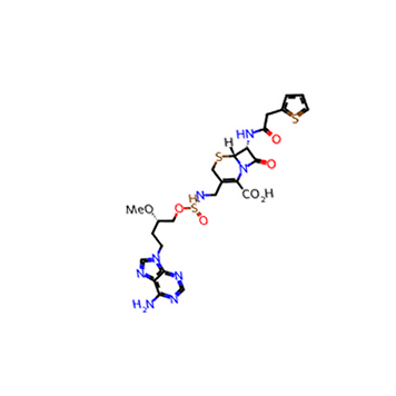 CO[C@@H](CCn1cnc2c(N)ncnc21)CO/[SH](=O)=N/CC1=C(C(=O)O)N2C(=O)[C@@H](NC(=O)Cc3cccs3)[C@H]2SC1